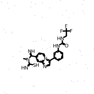 CN(C(=N)S)C(=N)c1ccn2c(-c3cccc(NC(=O)NCC(F)(F)F)c3)cnc2c1